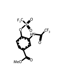 COC(=O)c1ccc(OS(=O)(=O)C(F)(F)F)c(NC(=O)C(F)(F)F)c1